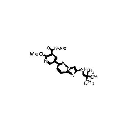 COC(=O)c1cc(-c2ccc3nc(NCC(C)(C)O)cn3n2)cnc1OC